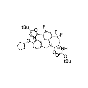 CC(C)(C)OC(=O)N[C@@H]1CC(F)(F)c2cc(F)c(-c3nnc(C(C)(C)C)o3)cc2N(Cc2ccc(OC3CCCC3)cc2)C1=O